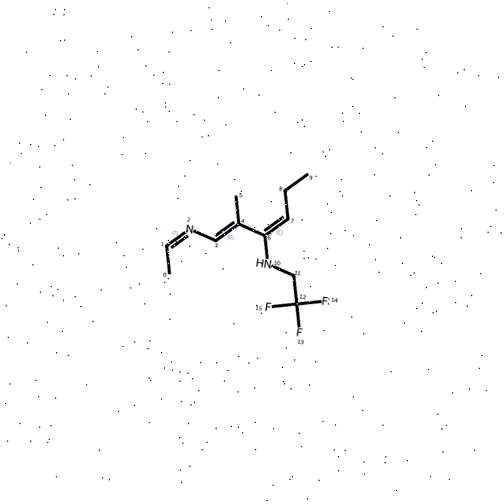 C\C=N/C=C(C)/C(=C\CC)NCC(F)(F)F